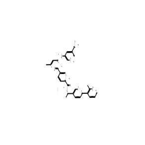 Cc1cc(Nc2cncc(C#N)c2)nc(-c2ccc(C(=O)NC(C)c3ccc(-c4cc(F)cnc4C)nc3)nc2)n1